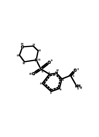 NC(=O)c1cccc(S(=O)(=O)N2CCOCC2)n1